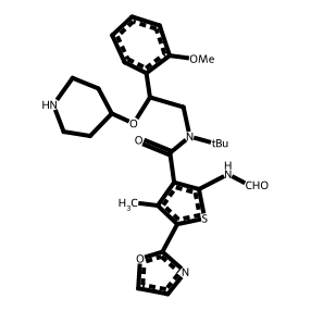 COc1ccccc1C(CN(C(=O)c1c(NC=O)sc(-c2ncco2)c1C)C(C)(C)C)OC1CCNCC1